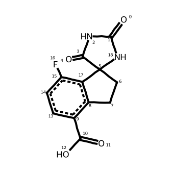 O=C1NC(=O)C2(CCc3c(C(=O)O)ccc(F)c32)N1